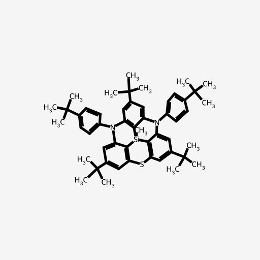 CC(C)(C)c1ccc(N2c3cc(C(C)(C)C)cc4c3[Si]3(C)c5c(cc(C(C)(C)C)cc5N(c5ccc(C(C)(C)C)cc5)c5cc(C(C)(C)C)cc2c53)S4)cc1